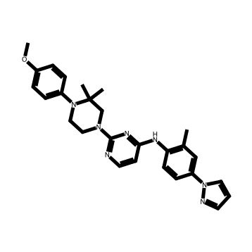 COc1ccc(N2CCN(c3nccc(Nc4ccc(-n5cccn5)cc4C)n3)CC2(C)C)cc1